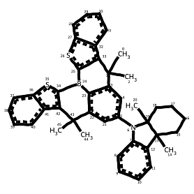 CC1(C)c2cc(N3c4ccccc4C4(C)CCCCC34C)cc3c2B(c2sc4ccccc4c21)c1sc2ccccc2c1C3(C)C